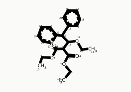 CCOC(=O)C(C(=S)OCC)C(OCC)C(c1ccccc1)c1ccccn1